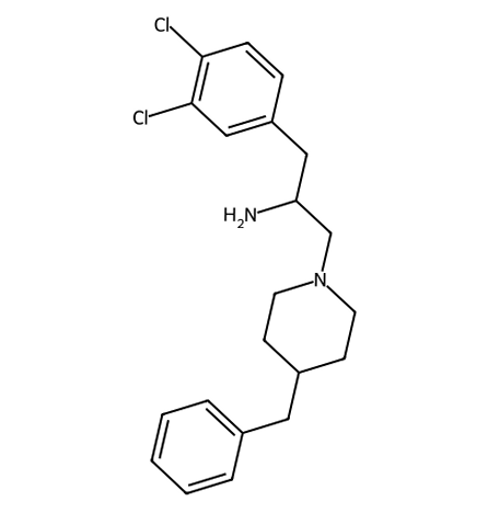 NC(Cc1ccc(Cl)c(Cl)c1)CN1CCC(Cc2ccccc2)CC1